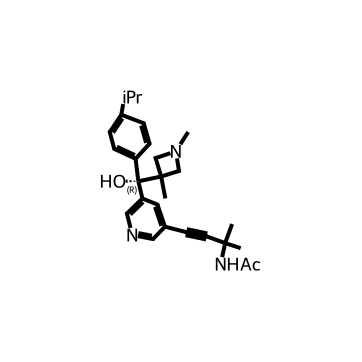 CC(=O)NC(C)(C)C#Cc1cncc([C@@](O)(c2ccc(C(C)C)cc2)C2(C)CN(C)C2)c1